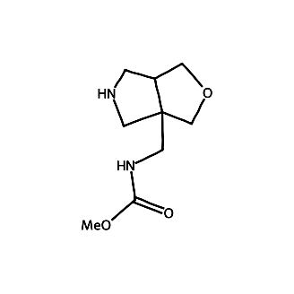 COC(=O)NCC12CNCC1COC2